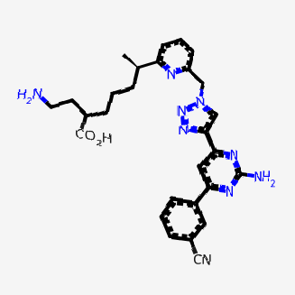 C[C@H](CCCC(CCN)C(=O)O)c1cccc(Cn2cc(-c3cc(-c4cccc(C#N)c4)nc(N)n3)nn2)n1